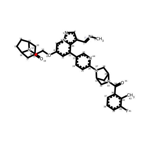 C/N=C/c1cnn2cc(OCCN3C4CCC3CC(=O)C4)cc(-c3ccc(N4CC5CC4CN5C(=O)c4cccc(F)c4C)nc3)c12